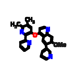 COc1cc2nccc(Oc3cc(C)c(C)nc3-c3ccccn3)c2cc1-c1cccnc1